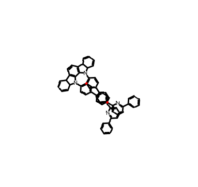 C1=CC2c3ccc4c(c3N(c3ccc(-c5ccc(-c6cccc(-c7ccccc7)n6)cc5)cc3)C2C=C1)N(c1ccc(-c2ccc(-c3cccc(-c5ccccc5)n3)cc2)cc1)C1C=CC=CC41